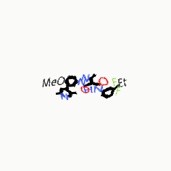 CCC(F)(F)c1cccc(NC(=O)C2C(=O)N(c3ccc(OC)c(-c4cc(C)ncc4C)c3)N=C2C)c1